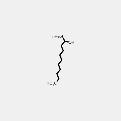 CCCCCCCC(O)CCCCCCCCC(=O)O